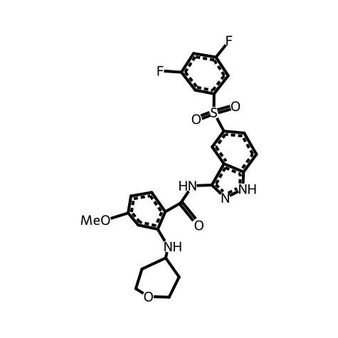 COc1ccc(C(=O)Nc2n[nH]c3ccc(S(=O)(=O)c4cc(F)cc(F)c4)cc23)c(NC2CCOCC2)c1